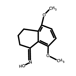 COc1ccc(OC)c2c1CCC/C2=N\O